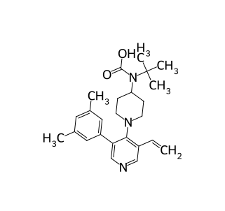 C=Cc1cncc(-c2cc(C)cc(C)c2)c1N1CCC(N(C(=O)O)C(C)(C)C)CC1